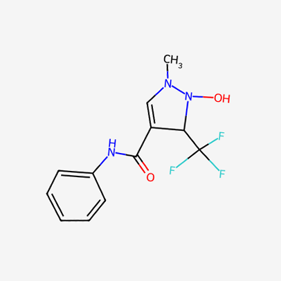 CN1C=C(C(=O)Nc2ccccc2)C(C(F)(F)F)N1O